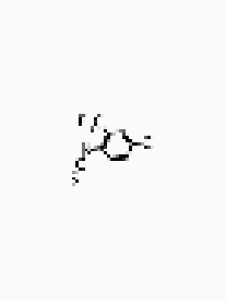 FC(F)(F)c1cc(Cl)ccc1N=C=S